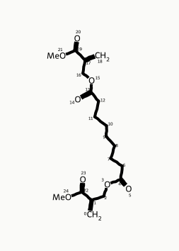 C=C(COC(=O)CCCCCCCC(=O)OCC(=C)C(=O)OC)C(=O)OC